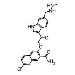 CNNCc1ccc2c(C(=O)COc3cc4ccc(Cl)cc4cc3C(N)=O)c[nH]c2c1